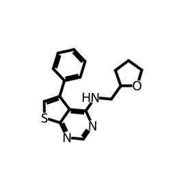 c1ccc(-c2csc3ncnc(NCC4CCCO4)c23)cc1